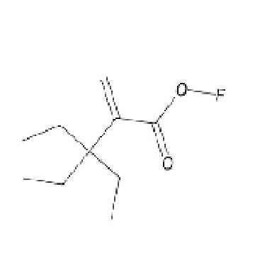 C=C(C(=O)OF)C(CC)(CC)CC